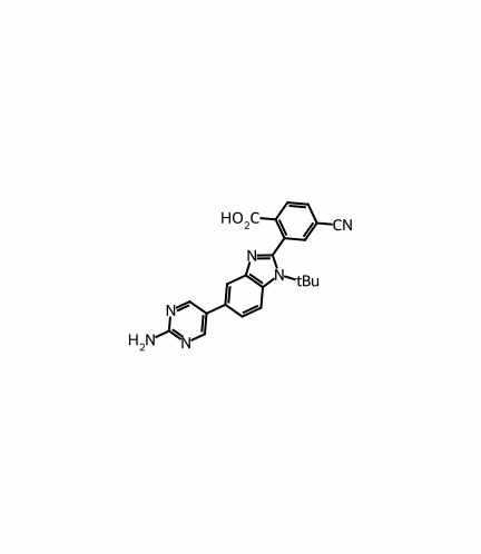 CC(C)(C)n1c(-c2cc(C#N)ccc2C(=O)O)nc2cc(-c3cnc(N)nc3)ccc21